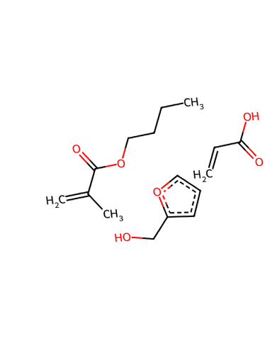 C=C(C)C(=O)OCCCC.C=CC(=O)O.OCc1ccco1